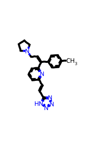 Cc1ccc(C(=CCN2CCCC2)c2cccc(C=Cc3nnn[nH]3)n2)cc1